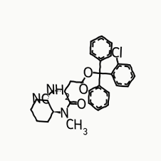 CN(C(=O)[C@H](CC#N)CC(=O)OC(c1ccccc1)(c1ccccc1)c1ccccc1Cl)[C@H]1CCCC[C@@H]1N